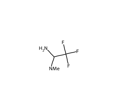 CNC(N)C(F)(F)F